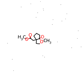 COC(=O)CC12CCCC1(OC)OCC2